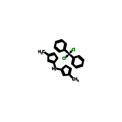 CC1=CC[C]([Hf][C]2=CC(C)=CC2)=C1.Cl[Si](Cl)(c1ccccc1)c1ccccc1